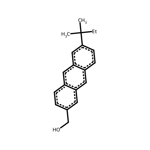 CCC(C)(C)c1ccc2cc3cc(CO)ccc3cc2c1